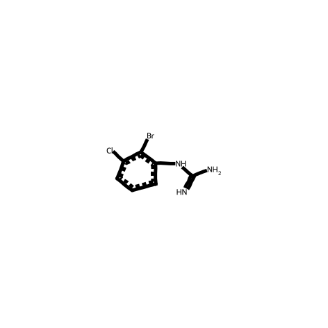 N=C(N)Nc1cccc(Cl)c1Br